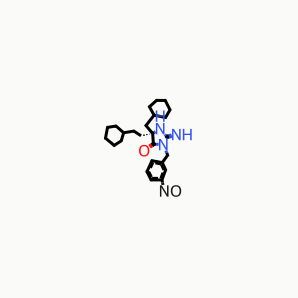 N=C1N[C@](CCC2CCCCC2)(CC2CCCCC2)C(=O)N1Cc1cccc(N=O)c1